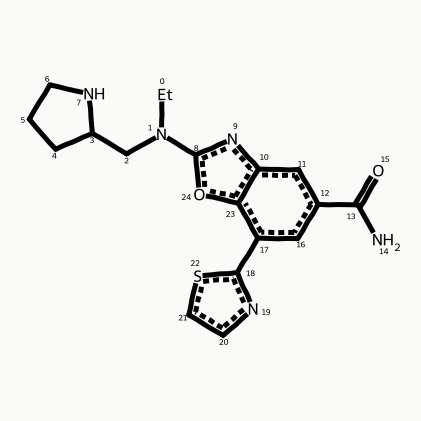 CCN(CC1CCCN1)c1nc2cc(C(N)=O)cc(-c3nccs3)c2o1